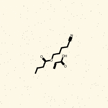 C=CC(=O)O.CCCC(=O)OCCCCC#N